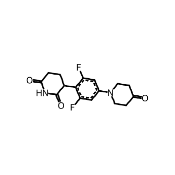 O=C1CCN(c2cc(F)c(C3CCC(=O)NC3=O)c(F)c2)CC1